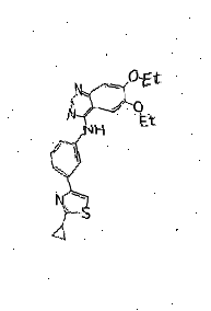 CCOc1cc2ncnc(Nc3cccc(-c4csc(C5CC5)n4)c3)c2cc1OCC